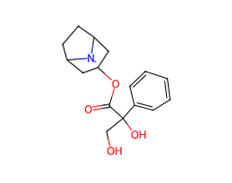 CN1C2CCC1CC(OC(=O)C(O)(CO)c1ccccc1)C2